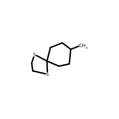 CC1CCC2(CC1)SCCS2